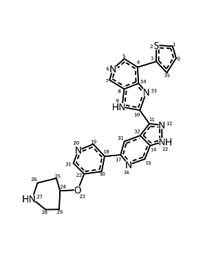 c1csc(-c2cncc3[nH]c(-c4n[nH]c5cnc(-c6cncc(OC7CCNCC7)c6)cc45)nc23)c1